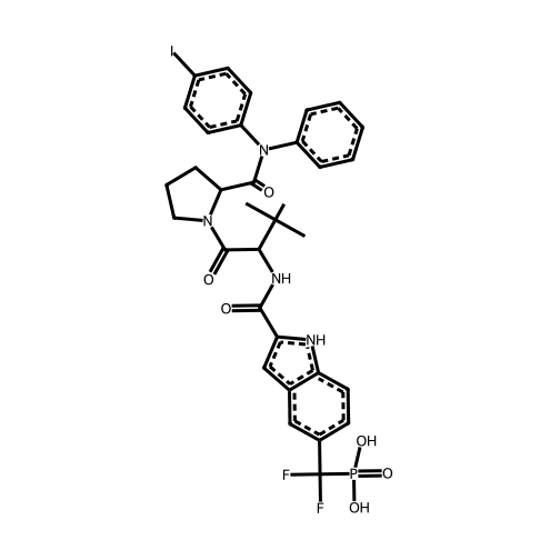 CC(C)(C)C(NC(=O)c1cc2cc(C(F)(F)P(=O)(O)O)ccc2[nH]1)C(=O)N1CCCC1C(=O)N(c1ccccc1)c1ccc(I)cc1